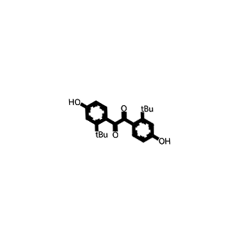 CC(C)(C)c1cc(O)ccc1C(=O)C(=O)c1ccc(O)cc1C(C)(C)C